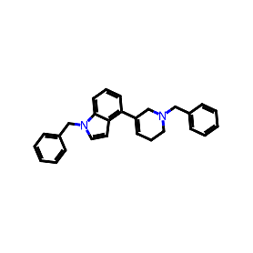 C1=C(c2cccc3c2ccn3Cc2ccccc2)CN(Cc2ccccc2)CC1